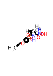 CC#CCOc1ccc(S(=O)(=O)C(NC(C(=O)NO)C(C)C)C2CC2)cc1